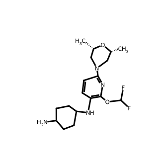 C[C@@H]1CN(c2ccc(NC3CCC(N)CC3)c(OC(F)F)n2)C[C@H](C)O1